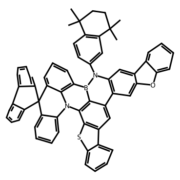 CC1(C)CCC(C)(C)c2cc(N3B4c5cccc6c5N(c5ccccc5C65c6ccccc6-c6ccccc65)c5c4c(cc4c5sc5ccccc54)-c4cc5oc6ccccc6c5cc43)ccc21